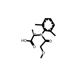 COCC(=O)N(c1c(C)cccc1C)[C@H](C)C(=O)O